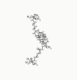 CC(CCC(=O)OCOCC[Si](C)(C)C)[C@H]1CC[C@H]2[C@@H]3CC=C4C[C@@H](OCOCC[Si](C)(C)C)CC[C@]4(C)[C@H]3CC[C@]12C